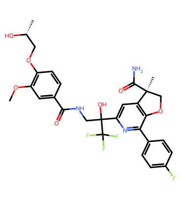 COc1cc(C(=O)NCC(O)(c2cc3c(c(-c4ccc(F)cc4)n2)OC[C@]3(C)C(N)=O)C(F)(F)F)ccc1OC[C@@H](C)O